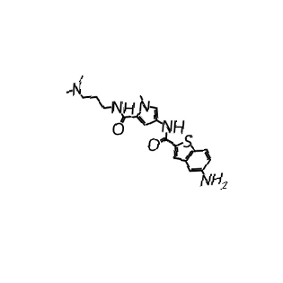 CN(C)CCCNC(=O)c1cc(NC(=O)c2cc3cc(N)ccc3s2)cn1C